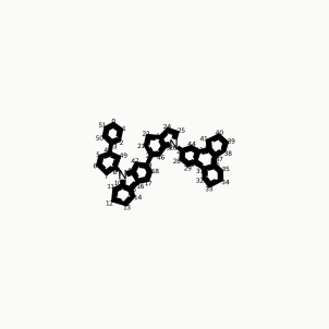 c1ccc(-c2cccc(-n3c4ccccc4c4ccc(-c5ccc6ccn(-c7ccc8c9ccccc9c9ccccc9c8c7)c6c5)cc43)c2)cc1